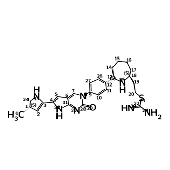 C[C@H]1C=C(c2cc3cn(-c4ccc([C@@H]5CCCC[C@@H](CCSC(=N)N)N5)cc4)c(=O)nc3[nH]2)NC1